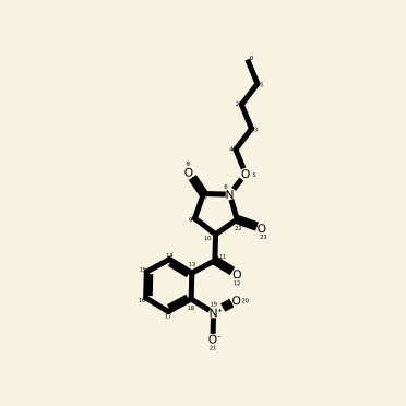 CCCCCON1C(=O)CC(C(=O)c2ccccc2[N+](=O)[O-])C1=O